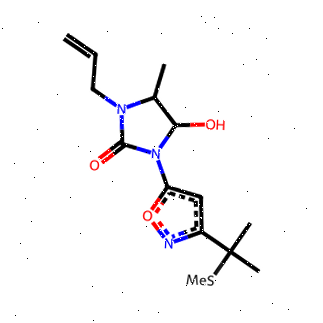 C=CCN1C(=O)N(c2cc(C(C)(C)SC)no2)C(O)C1C